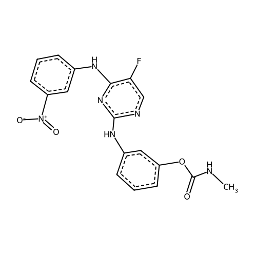 CNC(=O)Oc1cccc(Nc2ncc(F)c(Nc3cccc([N+](=O)[O-])c3)n2)c1